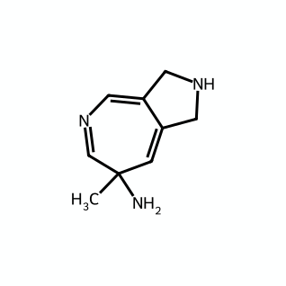 CC1(N)C=NC=C2CNCC2=C1